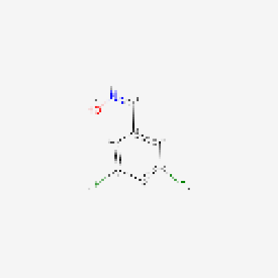 O/N=C\c1cc(F)[c]c(F)c1